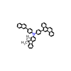 CC1(C)c2ccccc2-c2ccc(N(c3ccc(-c4ccc5ccccc5c4)cc3)c3ccc(-c4cc5c6ccccc6ccc5c5ccccc45)cc3)cc21